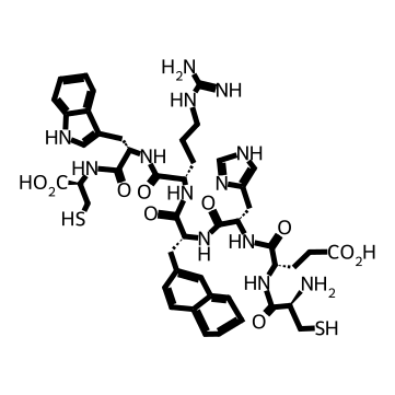 N=C(N)NCCC[C@H](NC(=O)[C@@H](Cc1ccc2ccccc2c1)NC(=O)[C@H](Cc1c[nH]cn1)NC(=O)[C@H](CCC(=O)O)NC(=O)[C@@H](N)CS)C(=O)N[C@@H](Cc1c[nH]c2ccccc12)C(=O)N[C@@H](CS)C(=O)O